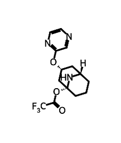 O=C(O[C@]12CCC[C@@H](C[C@@H](Oc3cnccn3)C1)N2)C(F)(F)F